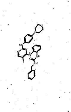 O=C(NCc1ccccc1)Nc1ccccc1Nc1nc(Nc2ccc(N3CCOCC3)cc2)ncc1I